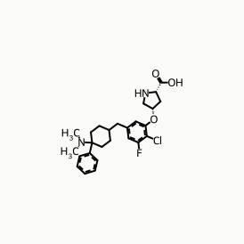 CN(C)C1(c2ccccc2)CCC(Cc2cc(F)c(Cl)c(O[C@@H]3CN[C@H](C(=O)O)C3)c2)CC1